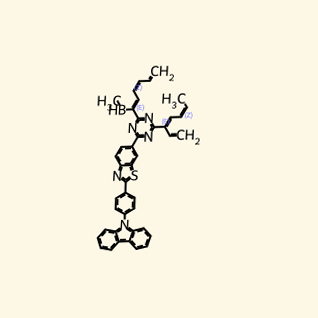 C=C/C=C\C=C(/BC)c1nc(/C(C=C)=C/C=C\C)nc(-c2ccc3nc(-c4ccc(-n5c6ccccc6c6ccccc65)cc4)sc3c2)n1